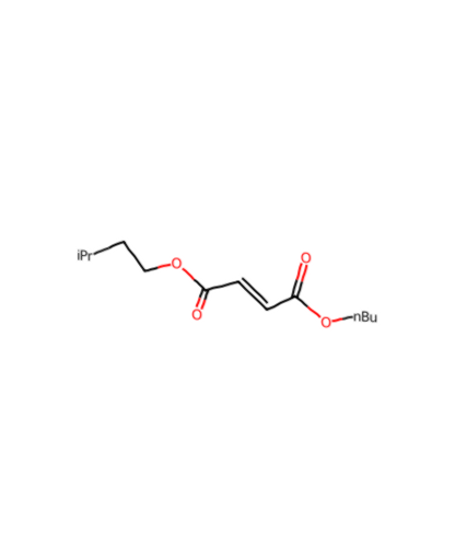 CCCCOC(=O)/C=C/C(=O)OCCC(C)C